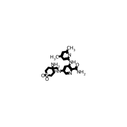 Cc1cc(C)nc(Nc2cc(NCC3(N)CCS(=O)(=O)CC3)cnc2C(N)=O)c1